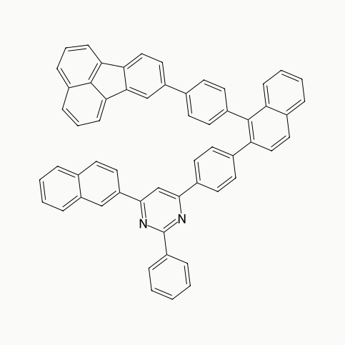 c1ccc(-c2nc(-c3ccc(-c4ccc5ccccc5c4-c4ccc(-c5ccc6c(c5)-c5cccc7cccc-6c57)cc4)cc3)cc(-c3ccc4ccccc4c3)n2)cc1